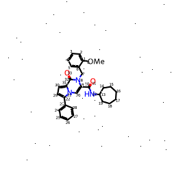 COc1ccccc1Cn1c(C(=O)NC2CCCCCC2)cn2c(-c3ccccc3)ccc2c1=O